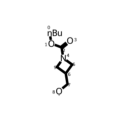 CCCCOC(=O)N1CC(C[O])C1